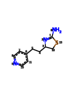 NC1=NC(CCc2ccncc2)CS1